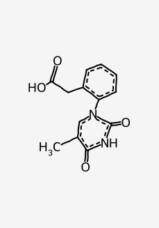 Cc1cn(-c2ccccc2CC(=O)O)c(=O)[nH]c1=O